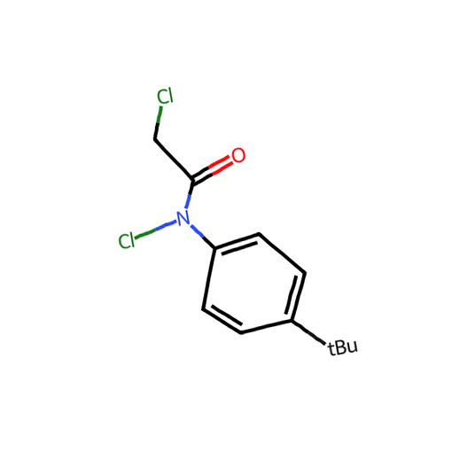 CC(C)(C)c1ccc(N(Cl)C(=O)CCl)cc1